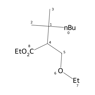 CCCCC(C)(C)C(COCC)C(=O)OCC